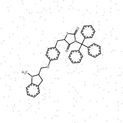 CN1c2ccccc2CC1COc1ccc(CC2SC(=O)N(C(c3ccccc3)(c3ccccc3)c3ccccc3)C2=O)cc1